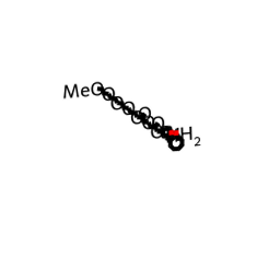 COCCOCCOCCOCCOC(=O)COCC(=O)Oc1ccc2c(c1)[C@@]1(C)CCCCCC(C2)[C@@H]1N